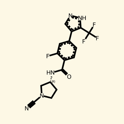 N#CN1CC[C@@H](NC(=O)c2ccc(-c3cn[nH]c3C(F)(F)F)cc2F)C1